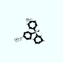 C[P+](c1ccccc1)(c1ccccc1)c1ccccc1.[Cl-].[Cl-].[Cl-].[Mn+2]